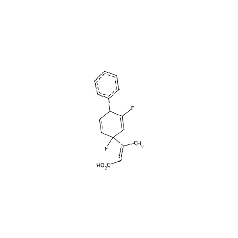 C/C(=C/C(=O)O)C1(F)C=CC(c2ccccc2)C(F)=C1